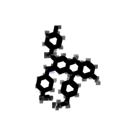 COC1CCC(/N=c2\cc3n(-c4ccc(OC(F)(F)F)cc4)c4cc(F)ccc4nc-3cc2Nc2ccc(C)nc2)CC1